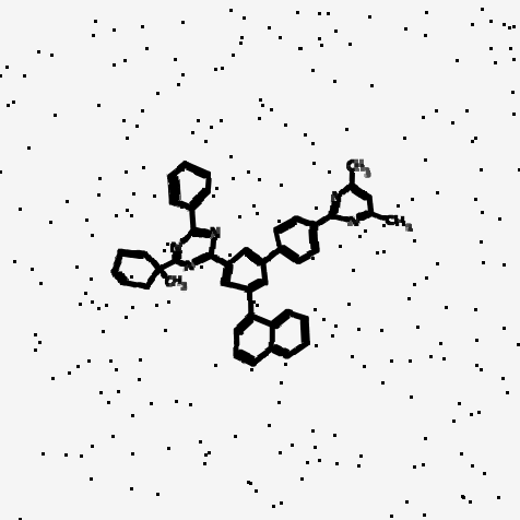 Cc1cc(C)nc(-c2ccc(-c3cc(-c4nc(-c5ccccc5)nc(C5(C)C=CC=CC5)n4)cc(-c4cccc5ccccc45)c3)cc2)n1